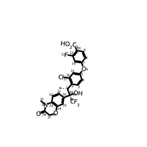 C[C@H](c1ccc(Oc2ccc(C(=O)O)c(F)c2)cc1Cl)[C@@](O)(c1ccc2c(c1)OCC(=O)N2C)C(F)(F)F